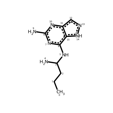 CCCC(N)Nc1nc(N)nc2cn[nH]c12